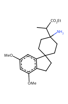 CCOC(=O)C(C)C1(N)CCC2(CCc3c(OC)cc(OC)cc32)CC1